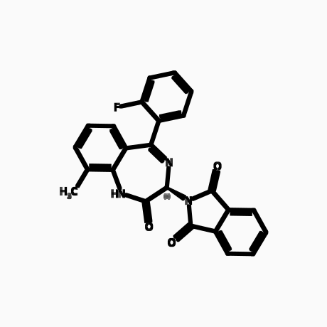 Cc1cccc2c1NC(=O)[C@H](N1C(=O)c3ccccc3C1=O)N=C2c1ccccc1F